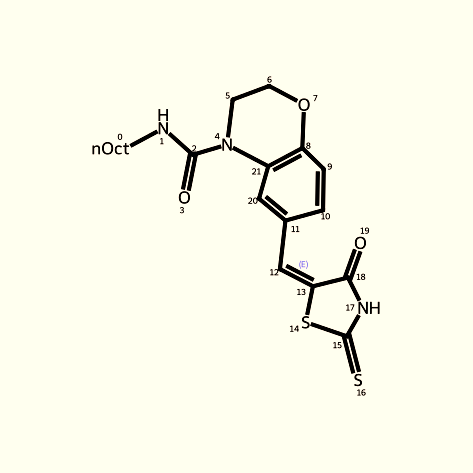 CCCCCCCCNC(=O)N1CCOc2ccc(/C=C3/SC(=S)NC3=O)cc21